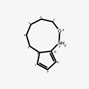 C1=CC2CCCCCO[SiH2]C2=C1